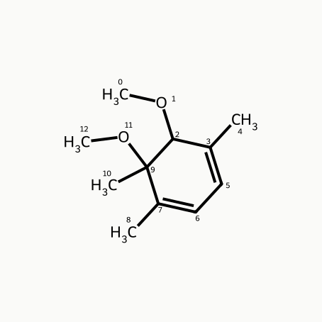 COC1C(C)=CC=C(C)C1(C)OC